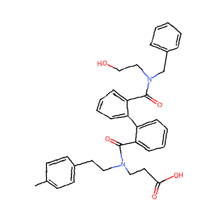 Cc1ccc(CCN(CCC(=O)O)C(=O)c2ccccc2-c2ccccc2C(=O)N(CCO)Cc2ccccc2)cc1